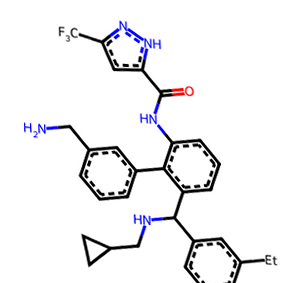 CCc1cccc(C(NCC2CC2)c2cccc(NC(=O)c3cc(C(F)(F)F)n[nH]3)c2-c2cccc(CN)c2)c1